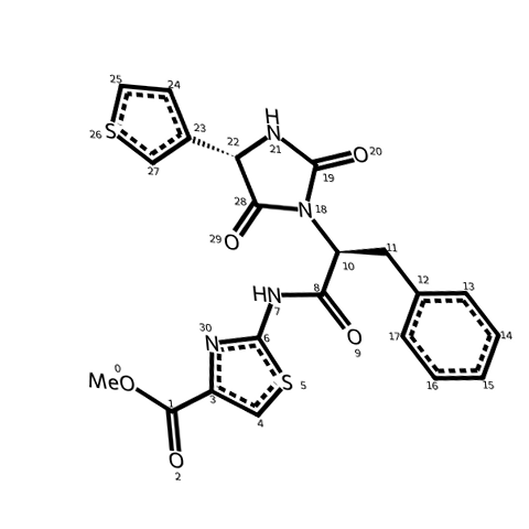 COC(=O)c1csc(NC(=O)[C@H](Cc2ccccc2)N2C(=O)N[C@@H](c3ccsc3)C2=O)n1